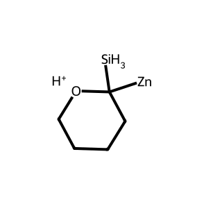 [H+].[SiH3][C]1([Zn])CCCCO1